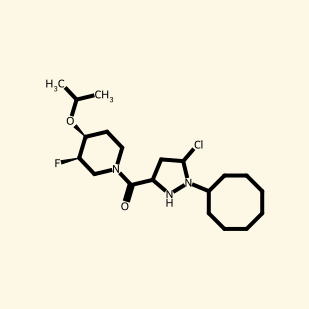 CC(C)O[C@H]1CCN(C(=O)C2CC(Cl)N(C3CCCCCCC3)N2)C[C@H]1F